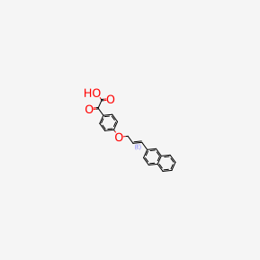 O=C(O)C(=O)c1ccc(OC/C=C/c2ccc3ccccc3c2)cc1